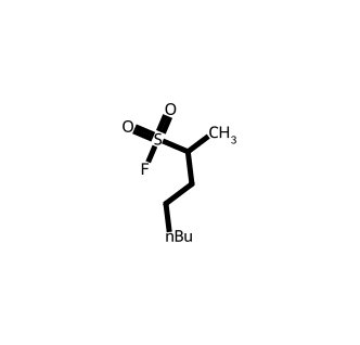 CCCCCCC(C)S(=O)(=O)F